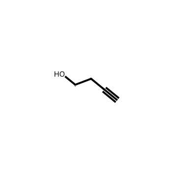 C#CC[CH]O